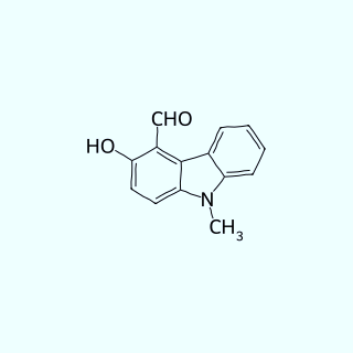 Cn1c2ccccc2c2c(C=O)c(O)ccc21